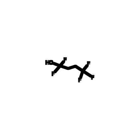 OC(F)(F)CCC(F)(F)F